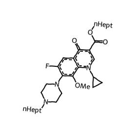 CCCCCCCOC(=O)c1cn(C2CC2)c2c(OC)c(N3CCN(CCCCCCC)CC3)c(F)cc2c1=O